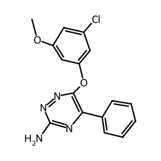 COc1cc(Cl)cc(Oc2nnc(N)nc2-c2ccccc2)c1